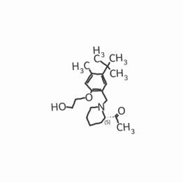 CC(=O)[C@@H]1CCCCN1Cc1cc(C(C)(C)C)c(C)cc1OCCO